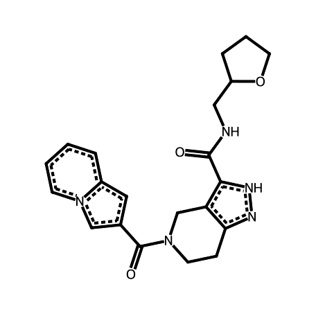 O=C(NCC1CCCO1)c1[nH]nc2c1CN(C(=O)c1cc3ccccn3c1)CC2